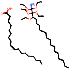 CCCCCCCC/C=C\CCCCCCCC(=O)O.CCCCCCCCCCCCCCCC(OCC)C(OCC)(OCC)C(N)(OCC)OCC